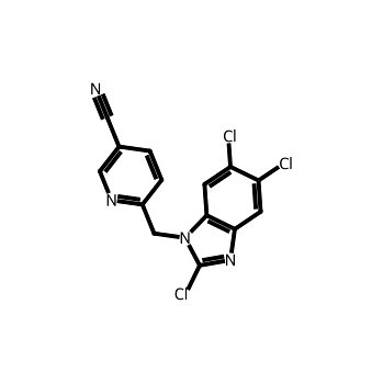 N#Cc1ccc(Cn2c(Cl)nc3cc(Cl)c(Cl)cc32)nc1